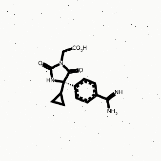 N=C(N)c1ccc([C@]2(C3CC3)NC(=O)N(CC(=O)O)C2=O)cc1